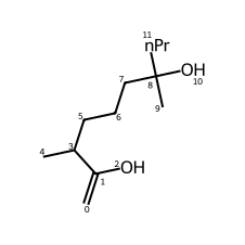 C=C(O)C(C)CCCC(C)(O)CCC